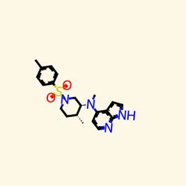 Cc1ccc(S(=O)(=O)N2CC[C@@H](C)[C@@H](N(C)c3ccnc4[nH]ccc34)C2)cc1